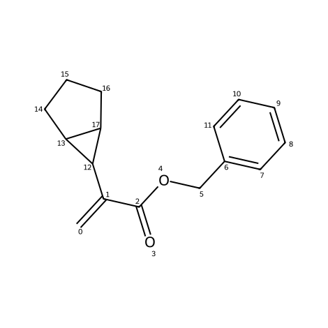 C=C(C(=O)OCc1ccccc1)C1C2CCCC21